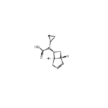 O=C(O)N(C1CC1)[C@H]1C[C@@H]2C=CC[C@H]21